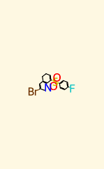 O=S(=O)(C1=CCCc2cc(Br)cnc21)c1ccc(F)cc1